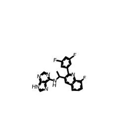 CC(Nc1ncnc2[nH]cnc12)c1cc2cccc(F)c2nc1-c1cc(F)cc(F)c1